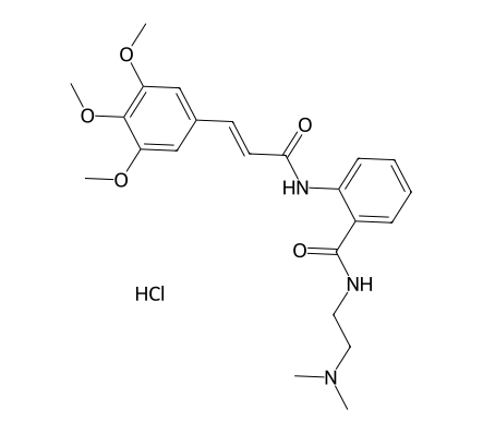 COc1cc(C=CC(=O)Nc2ccccc2C(=O)NCCN(C)C)cc(OC)c1OC.Cl